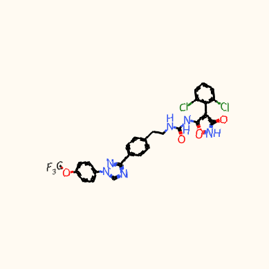 O=C(NCCc1ccc(-c2ncn(-c3ccc(OC(F)(F)F)cc3)n2)cc1)Nc1o[nH]c(=O)c1-c1c(Cl)cccc1Cl